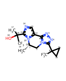 C[C@H]1Cn2c(nnc2C2(C(F)(F)F)CC2)-c2cnc(C(C)(O)C(F)(F)F)n21